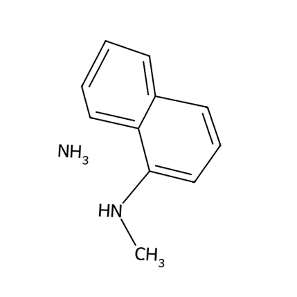 CNc1cccc2ccccc12.N